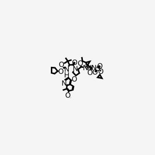 CCC1C[C@]1(NC(=O)C1CC(Oc2ccnc3c(C)c(OC)ccc23)CN1C(=O)C(NC(=O)OC1CCCC1)C(C)(C)C)C(=O)NS(=O)(=O)OC1CC1